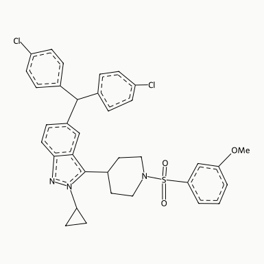 COc1cccc(S(=O)(=O)N2CCC(c3c4cc(C(c5ccc(Cl)cc5)c5ccc(Cl)cc5)ccc4nn3C3CC3)CC2)c1